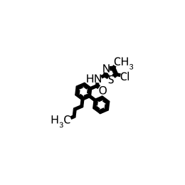 CCCCc1cccc(C(=O)Nc2nc(C)c(Cl)s2)c1-c1ccccc1